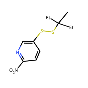 CCC(C)(CC)SSc1ccc([N+](=O)[O-])nc1